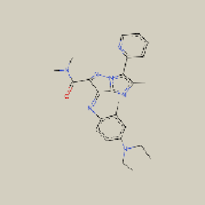 CCN(CC)c1ccc(/N=C2/C(C(=O)N(C)C)=Nn3c2nc(C)c3-c2ccccn2)c(C)c1